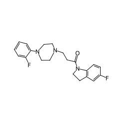 O=C(CCN1CCN(c2ccccc2F)CC1)N1CCc2cc(F)ccc21